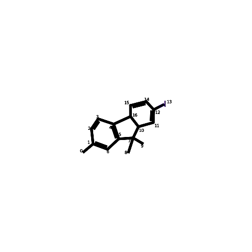 Cc1ccc2c(c1)C(C)(C)C1C=C(I)C=CC21